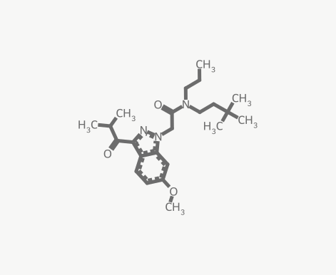 CCCN(CCC(C)(C)C)C(=O)Cn1nc(C(=O)C(C)C)c2ccc(OC)cc21